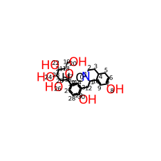 CN1CCC2CC=C(O)C=C2C1Cc1cc(C2O[C@H](CO)[C@@H](O)[C@H](O)[C@H]2O)ccc1O